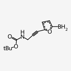 Bc1ccc(C#CCNC(=O)OC(C)(C)C)o1